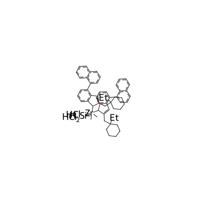 CCC1(CC2=Cc3c(-c4cccc5ccccc45)cccc3[CH]2[Zr]([CH3])([CH3])(=[SiH2])[CH]2C(CC3(CC)CCCCC3)=Cc3c(-c4cccc5ccccc45)cccc32)CCCCC1.Cl.Cl